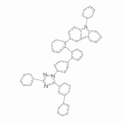 c1ccc(-c2cccc(-c3nc(-c4ccccc4)nn3-c3ccc(-c4ccccc4-c4ccccc4-c4ccc5c(c4)c4ccccc4n5-c4ccccc4)cc3)c2)cc1